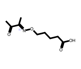 CC(=O)/C(C)=N/OCCCCC(=O)O